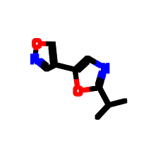 CC(C)c1ncc(-c2cnoc2)o1